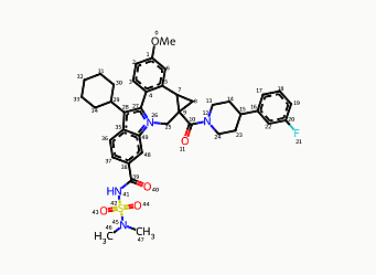 COc1ccc2c(c1)C1CC1(C(=O)N1CCC(c3cccc(F)c3)CC1)Cn1c-2c(C2CCCCC2)c2ccc(C(=O)NS(=O)(=O)N(C)C)cc21